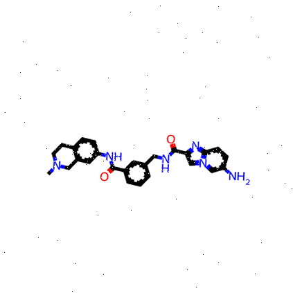 CN1CCc2ccc(NC(=O)c3cccc(CNC(=O)c4cn5cc(N)ccc5n4)c3)cc2C1